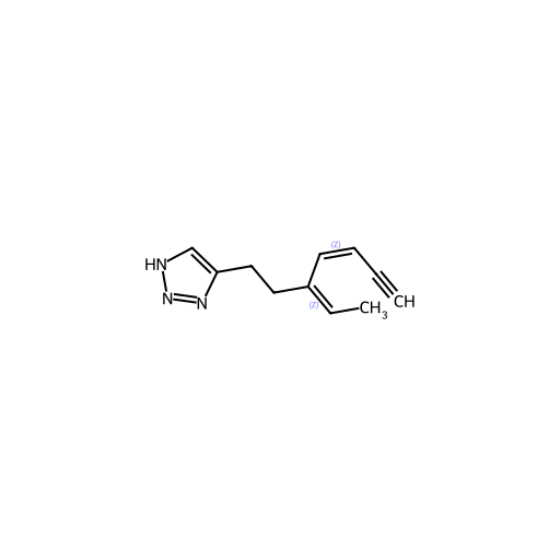 C#C/C=C\C(=C/C)CCc1c[nH]nn1